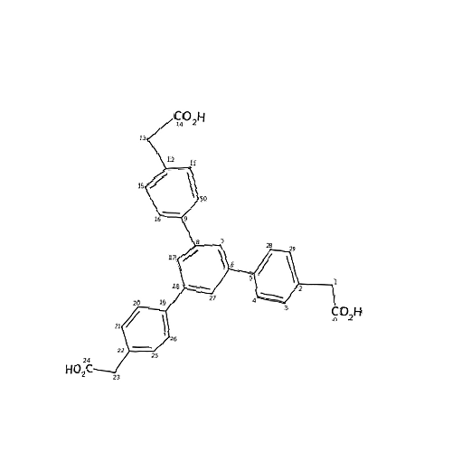 O=C(O)Cc1ccc(-c2cc(-c3ccc(CC(=O)O)cc3)cc(-c3ccc(CC(=O)O)cc3)c2)cc1